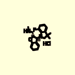 CNC[C@H]1Oc2ccccc2[C@@H]1N1CC(C)(C)c2cccc(F)c21.Cl